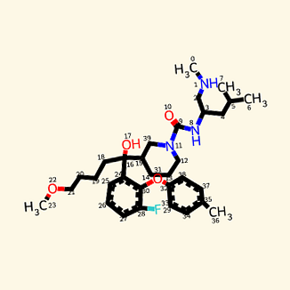 CNCC(CC(C)C)NC(=O)N1CCCC(C(O)(CCCCOC)c2cccc(F)c2Oc2ccc(C)cc2)C1